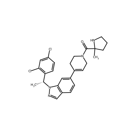 C[C@H](c1ccc(Cl)cc1Cl)n1ncc2ccc(C3=CCN(C(=O)C4(C)CCCN4)CC3)cc21